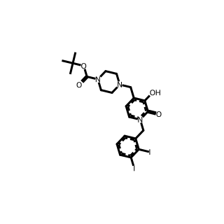 CC(C)(C)OC(=O)N1CCN(Cc2ccn(Cc3cccc(I)c3I)c(=O)c2O)CC1